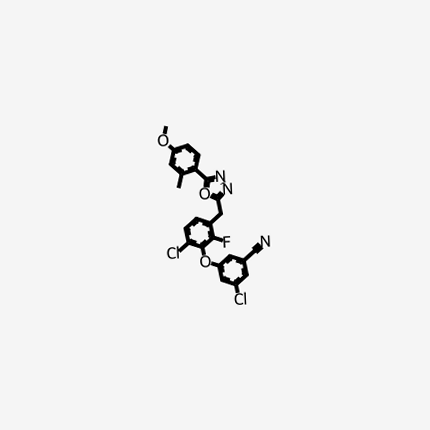 COc1ccc(-c2nnc(Cc3ccc(Cl)c(Oc4cc(Cl)cc(C#N)c4)c3F)o2)c(C)c1